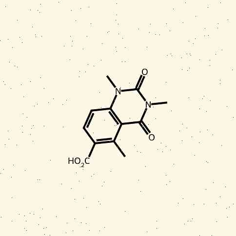 Cc1c(C(=O)O)ccc2c1c(=O)n(C)c(=O)n2C